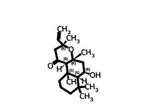 C=C[C@@]1(C)CC(=O)[C@@H]2[C@@]3(C)CCCC(C)(C)[C@@H]3[C@H](O)C[C@@]2(C)O1